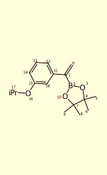 C=C(B1OC(C)(C)C(C)(C)O1)c1cccc(OC(C)C)c1